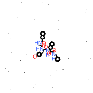 COc1ccc(C[C@H](NC(=O)[C@H](C)NC(=O)C2Cc3ccccc3C2)C(=O)NC2(C(=O)C(=O)NCc3ccccc3)Cc3ccccc3C2)cc1